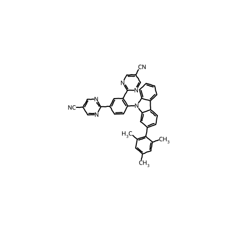 Cc1cc(C)c(-c2ccc3c4ccccc4n(-c4ccc(-c5ncc(C#N)cn5)cc4-c4ncc(C#N)cn4)c3c2)c(C)c1